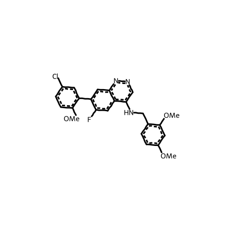 COc1ccc(CNc2cnnc3cc(-c4cc(Cl)ccc4OC)c(F)cc23)c(OC)c1